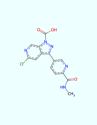 CNC(=O)c1ccc(-c2nn(C(=O)O)c3cnc(Cl)cc23)cn1